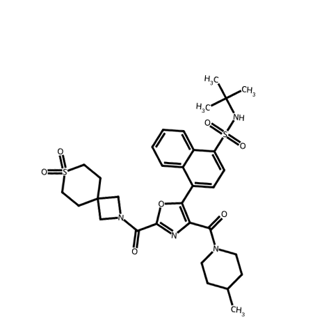 CC1CCN(C(=O)c2nc(C(=O)N3CC4(CCS(=O)(=O)CC4)C3)oc2-c2ccc(S(=O)(=O)NC(C)(C)C)c3ccccc23)CC1